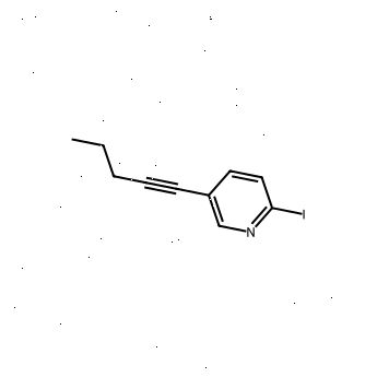 CCCC#Cc1ccc(I)nc1